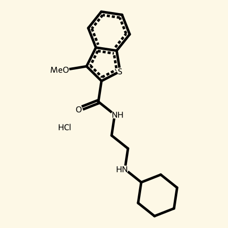 COc1c(C(=O)NCCNC2CCCCC2)sc2ccccc12.Cl